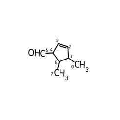 CC1C=CC(C=O)C1C